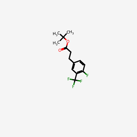 CC(C)(C)OC(=O)CCc1ccc(F)c(C(F)(F)F)c1